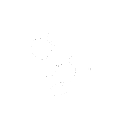 CC(=O)OC1N(c2cc(C(F)(F)F)ccn2)C(=O)N(C)CC12CCC2